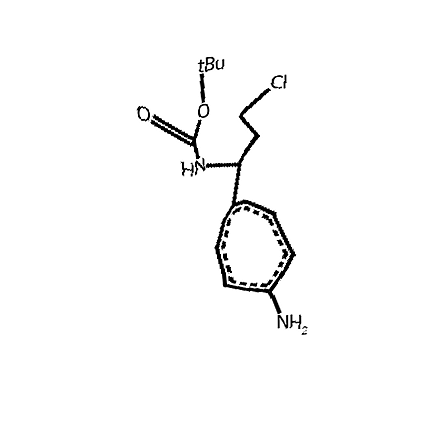 CC(C)(C)OC(=O)NC(CCCl)c1ccc(N)cc1